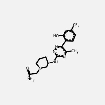 Cc1nc(N[C@@H]2CCCN(CC(N)=O)C2)nnc1-c1ccc(C(F)(F)F)cc1O